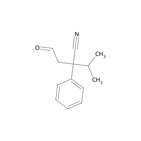 CC(C)C(C#N)(CC=O)c1ccccc1